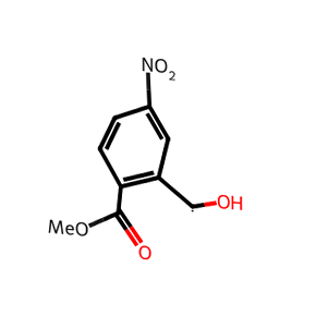 COC(=O)c1ccc([N+](=O)[O-])cc1[CH]O